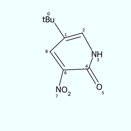 CC(C)(C)c1c[nH]c(=O)c([N+](=O)[O-])c1